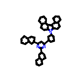 c1cc(-c2cc(-c3ccc4ccccc4c3)nc(-c3ccc4ccccc4c3)n2)cc(-n2c3ccc4ccccc4c3c3c4ccccc4ccc32)c1